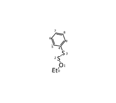 CCOSSc1[c]cccc1